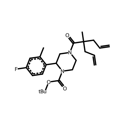 C=CCC(C)(CC=C)C(=O)N1CCN(C(=O)OC(C)(C)C)C(c2ccc(F)cc2C)C1